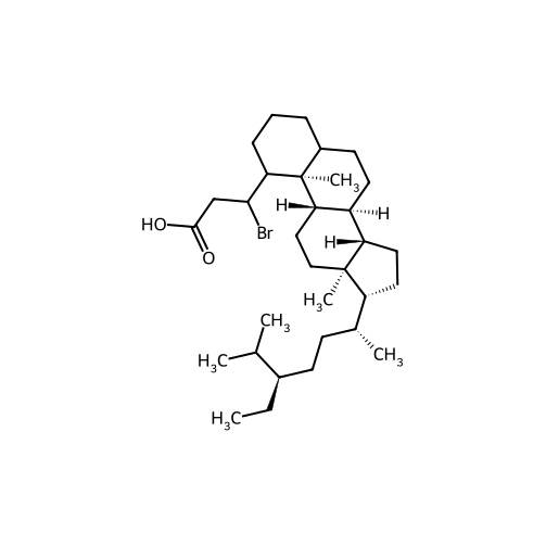 CC[C@H](CC[C@@H](C)[C@H]1CC[C@H]2[C@@H]3CCC4CCCC(C(Br)CC(=O)O)[C@]4(C)[C@H]3CC[C@]12C)C(C)C